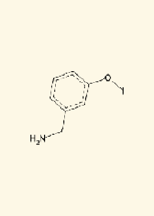 NCc1cccc(OI)c1